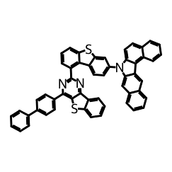 c1ccc(-c2ccc(-c3nc(-c4cccc5sc6cc(-n7c8cc9ccccc9cc8c8c9ccccc9ccc87)ccc6c45)nc4c3sc3ccccc34)cc2)cc1